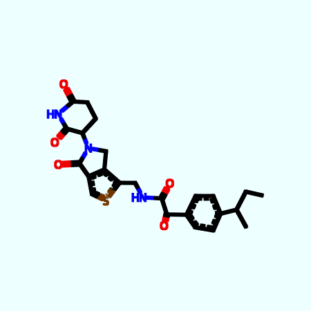 CCC(C)c1ccc(C(=O)C(=O)NCc2scc3c2CN(C2CCC(=O)NC2=O)C3=O)cc1